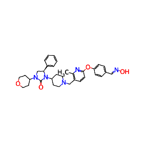 Cc1nc(Oc2ccc(/C=N/O)cc2)ccc1CN1CCC(N2C(=O)N(C3CCOCC3)C[C@H]2c2ccccc2)CC1